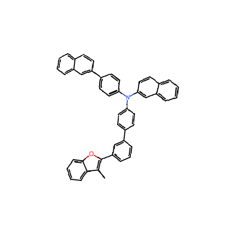 Cc1c(-c2cccc(-c3ccc(N(c4ccc(-c5ccc6ccccc6c5)cc4)c4ccc5ccccc5c4)cc3)c2)oc2ccccc12